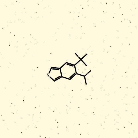 CC(C)c1cc2cscc2cc1C(C)(C)C